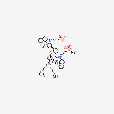 C=C(C1=C(Oc2ccc(N(CCCCCC)CCCCCC)cc2)/C(=C/C=C2/N(CCCCS(=O)(=O)[O-])c3ccc4ccccc4c3C2(C)C)CCC1)C1=[N+](CCCCS(=O)(=O)[O-])c2ccc3ccccc3c2C1(C)C.[Na+]